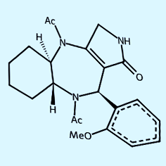 COc1ccccc1[C@@H]1C2=C(CNC2=O)N(C(C)=O)[C@@H]2CCCC[C@H]2N1C(C)=O